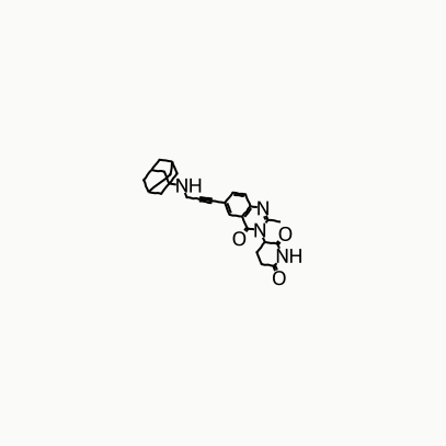 Cc1nc2ccc(C#CCNC34CC5CC(CC(C5)C3)C4)cc2c(=O)n1C1CCC(=O)NC1=O